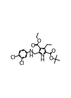 CCOC(=O)c1c(CNc2ccc(Cl)c(Cl)c2)[nH]c(C(=O)OC(C)(C)C)c1CC